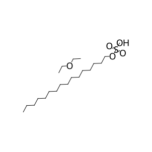 CCCCCCCCCCCCCCCCOS(=O)(=O)O.CCOCC